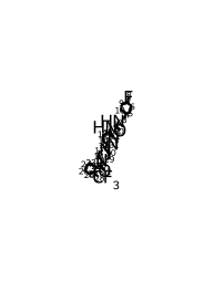 O=C(NCc1ccc(F)cc1)Nc1ccc(N2CCN(C(=O)c3ccccc3C(F)(F)F)CC2)nn1